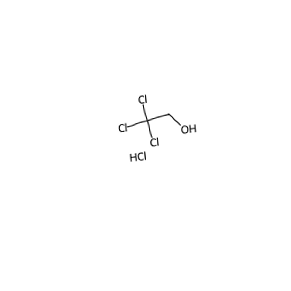 Cl.OCC(Cl)(Cl)Cl